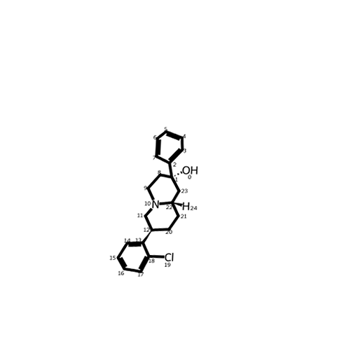 O[C@@]1(c2ccccc2)CCN2C[C@H](c3ccccc3Cl)CC[C@H]2C1